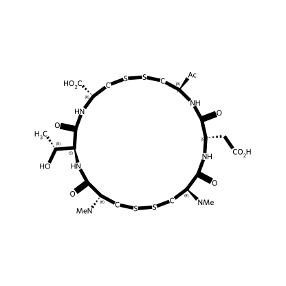 CN[C@H]1CSSC[C@H](NC)C(=O)N[C@@H]([C@@H](C)O)C(=O)N[C@H](C(=O)O)CSSC[C@@H](C(C)=O)NC(=O)[C@H](CC(=O)O)NC1=O